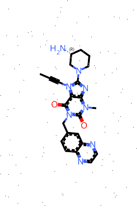 CC#Cn1c(N2CCC[C@@H](N)C2)nc2c1c(=O)n(Cc1ccc3nccnc3c1)c(=O)n2C